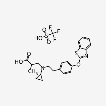 CC(CN(CCc1ccc(Oc2nc3ccccc3s2)cc1)C1CC1)C(=O)O.O=S(=O)(O)C(F)(F)F